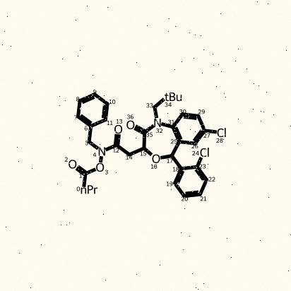 CCCC(=O)ON(Cc1ccccc1)C(=O)CC1OC(c2ccccc2Cl)c2cc(Cl)ccc2N(CC(C)(C)C)C1=O